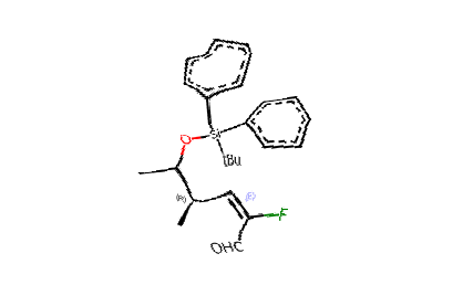 CC(O[Si](c1ccccc1)(c1ccccc1)C(C)(C)C)[C@H](C)/C=C(/F)C=O